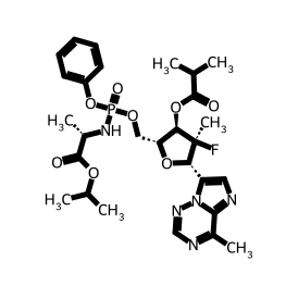 Cc1ncnn2c([C@@H]3O[C@H](COP(=O)(N[C@@H](C)C(=O)OC(C)C)Oc4ccccc4)[C@@H](OC(=O)C(C)C)[C@@]3(C)F)cnc12